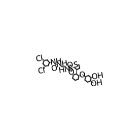 O=C(NCCNS(=O)(=O)c1sccc1-c1ccccc1Oc1ccc(O)c(O)c1)Nc1cc(Cl)cc(Cl)c1